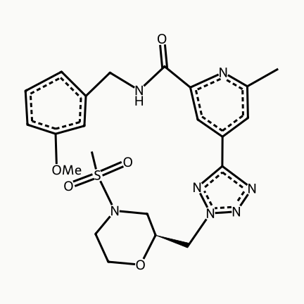 COc1cccc(CNC(=O)c2cc(-c3nnn(C[C@@H]4CN(S(C)(=O)=O)CCO4)n3)cc(C)n2)c1